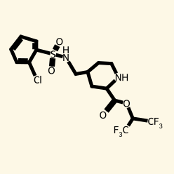 O=C(OC(C(F)(F)F)C(F)(F)F)C1CC(CNS(=O)(=O)c2ccccc2Cl)CCN1